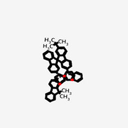 CC(C)(C)c1ccc2c(c1)C1(c3ccccc3-c3ccc(N(c4ccccc4)c4ccc5c(c4)C(C)(C)c4ccccc4-5)cc31)c1cc(N(c3ccccc3)c3ccccc3)ccc1-2